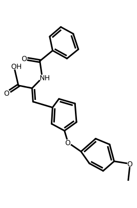 COc1ccc(Oc2cccc(/C=C(\NC(=O)c3ccccc3)C(=O)O)c2)cc1